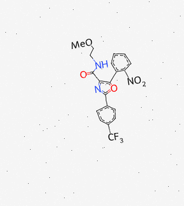 COCCNC(=O)c1nc(-c2ccc(C(F)(F)F)cc2)oc1-c1ccccc1[N+](=O)[O-]